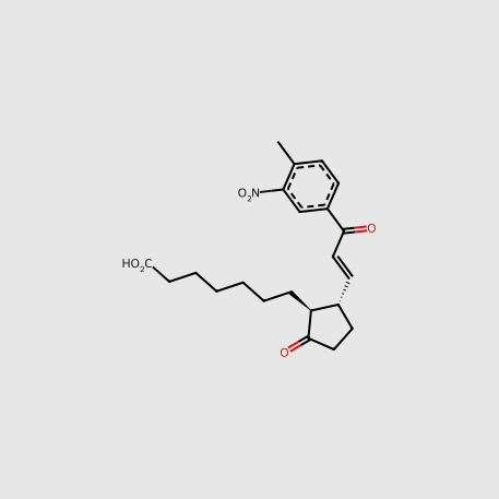 Cc1ccc(C(=O)C=C[C@@H]2CCC(=O)[C@H]2CCCCCCC(=O)O)cc1[N+](=O)[O-]